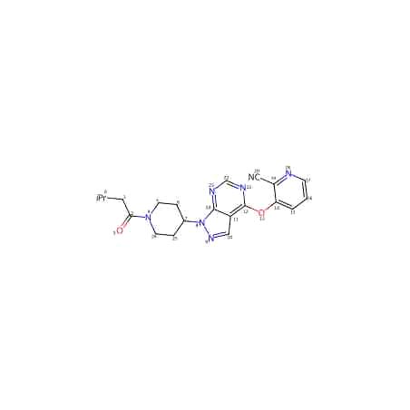 CC(C)CC(=O)N1CCC(n2ncc3c(Oc4cccnc4C#N)ncnc32)CC1